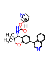 CC1(C)COc2cc(-c3cncc4ccccc34)ccc2C1NC(=O)O[C@H]1CN2CCC1CC2